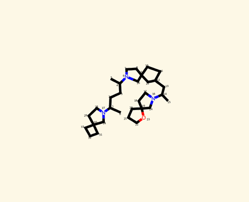 CC(CCC(C)N1CCC2(CCC(CC(C)N3CCC4(CCCO4)C3)C2)C1)N1CCC2(CCC2)C1